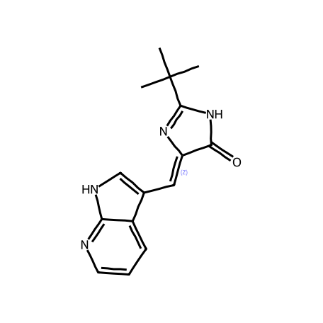 CC(C)(C)C1=N/C(=C\c2c[nH]c3ncccc23)C(=O)N1